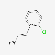 CCCC=Cc1c[c]ccc1Cl